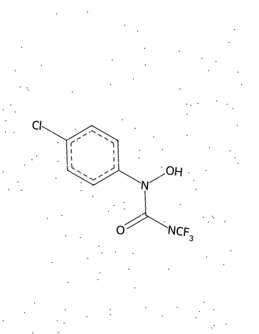 O=C(NC(F)(F)F)N(O)c1ccc(Cl)cc1